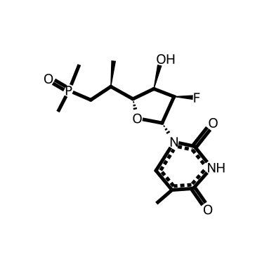 Cc1cn([C@@H]2O[C@H]([C@H](C)CP(C)(C)=O)[C@@H](O)[C@H]2F)c(=O)[nH]c1=O